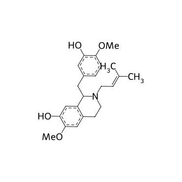 COc1ccc(CC2c3cc(O)c(OC)cc3CCN2CC=C(C)C)cc1O